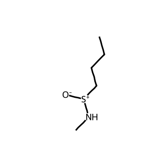 CCCC[S+]([O-])NC